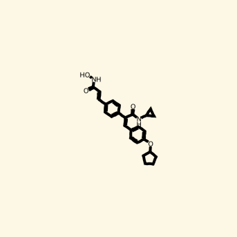 O=C(/C=C/c1ccc(C(=Cc2ccc(OC3CCCC3)cc2)C(=O)NC2CC2)cc1)NO